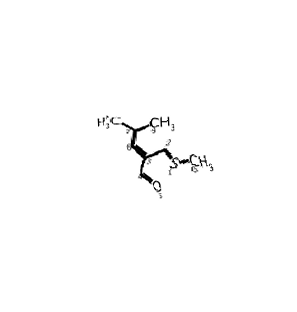 CSC/C(C=O)=C\C(C)C